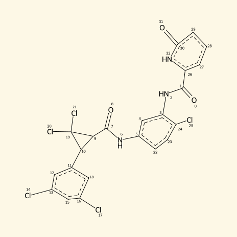 O=C(Nc1cc(NC(=O)C2C(c3cc(Cl)cc(Cl)c3)C2(Cl)Cl)ccc1Cl)c1cccc(=O)[nH]1